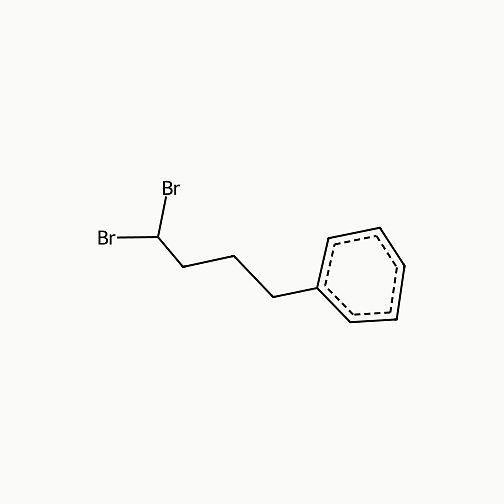 BrC(Br)CCCc1ccccc1